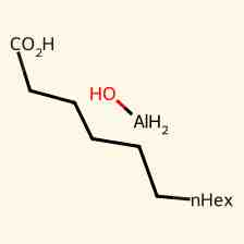 CCCCCCCCCCCC(=O)O.[OH][AlH2]